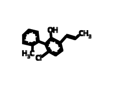 CC=Cc1ccc(Cl)c(-c2ccccc2C)c1O